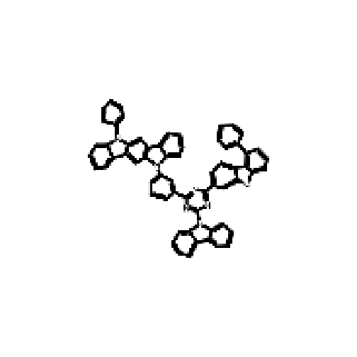 c1ccc(-c2cccc3oc4cc(-c5nc(-c6cccc(-n7c8ccccc8c8cc9c(cc87)c7ccccc7n9-c7ccccc7)c6)nc(-n6c7ccccc7c7ccccc76)n5)ccc4c23)cc1